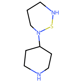 C1CNSN(C2CCNCC2)C1